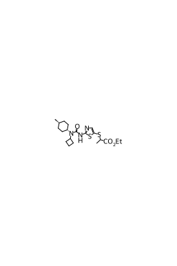 CCOC(=O)C(C)Sc1cnc(NC(=O)N(C2CCC2)[C@H]2CC[C@H](C)CC2)s1